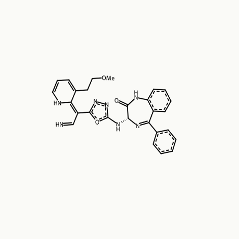 COCCC1=CC=CN/C1=C(\C=N)c1nnc(N[C@H]2N=C(c3ccccc3)c3ccccc3NC2=O)o1